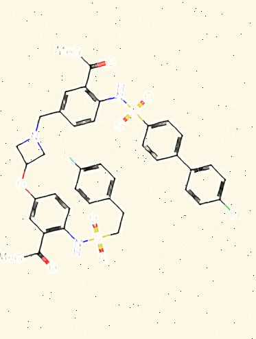 COC(=O)c1cc(OC2CN(Cc3ccc(NS(=O)(=O)c4ccc(-c5ccc(Cl)cc5)cc4)c(C(=O)OC)c3)C2)ccc1NS(=O)(=O)CCc1ccc(F)cc1